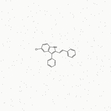 Clc1ccc2[nH]c(C=Cc3ccccc3)c(-c3ccccc3)c2c1